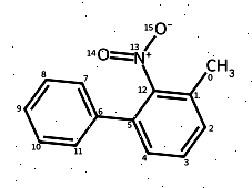 Cc1cccc(-c2ccccc2)c1[N+](=O)[O-]